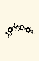 CCOc1ccc(N2CCN(C(=O)C(=O)Nc3ccc4[nH]c(=O)oc4c3)[C@H](C)C2)cc1F